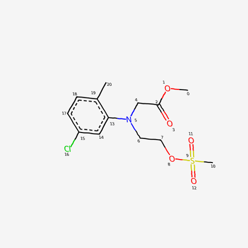 COC(=O)CN(CCOS(C)(=O)=O)c1cc(Cl)ccc1C